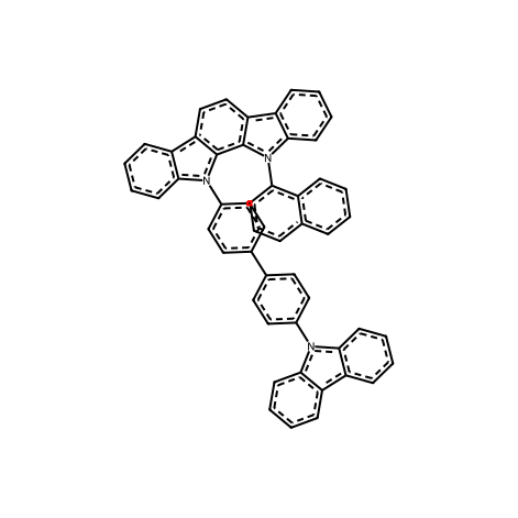 c1ccc2c(-n3c4ccccc4c4ccc5c6ccccc6n(-c6ccc(-c7ccc(-n8c9ccccc9c9ccccc98)cc7)cc6)c5c43)cccc2c1